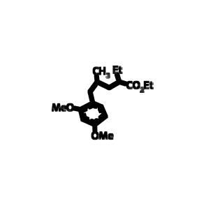 CCOC(=O)C(CC)CC(C)Cc1ccc(OC)cc1OC